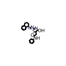 O=C(CC1S/C(=N\N=C2/CCCc3ccccc32)N=C1O)Nc1ccccc1